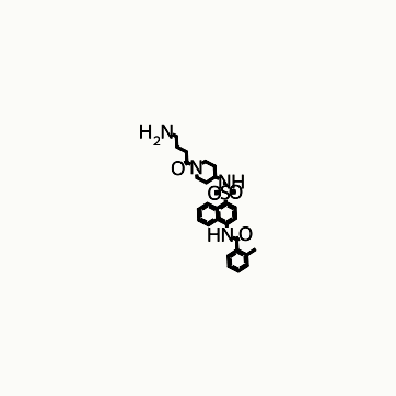 Cc1ccccc1C(=O)Nc1ccc(S(=O)(=O)NC2CCN(C(=O)CCCN)CC2)c2ccccc12